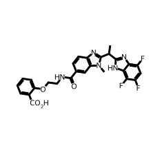 CC(c1nc2c(F)cc(F)c(F)c2[nH]1)c1nc2ccc(C(=O)NCCOc3ccccc3C(=O)O)cc2n1C